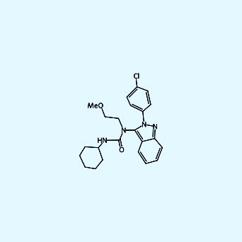 COCCN(C(=O)NC1CCCCC1)c1c2ccccc2nn1-c1ccc(Cl)cc1